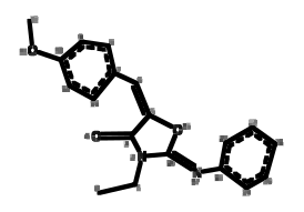 CCN1C(=O)/C(=C\c2ccc(OC)cc2)OC1=Nc1ccccc1